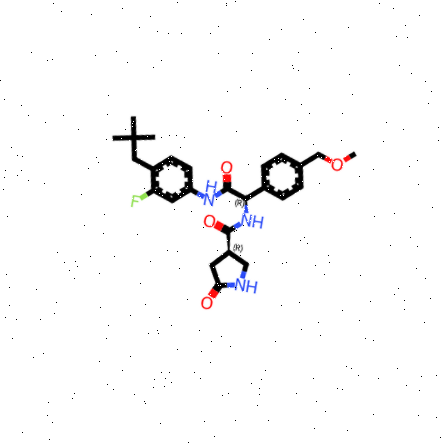 COCc1ccc([C@@H](NC(=O)[C@H]2CNC(=O)C2)C(=O)Nc2ccc(CC(C)(C)C)c(F)c2)cc1